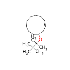 CC(C)(C)[Si](C)(C)OC1C/C=C\CCCCCCC1